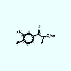 CON(C)C(=O)c1ccc(F)c(Cl)c1